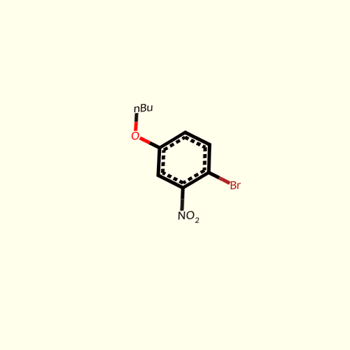 CCCCOc1ccc(Br)c([N+](=O)[O-])c1